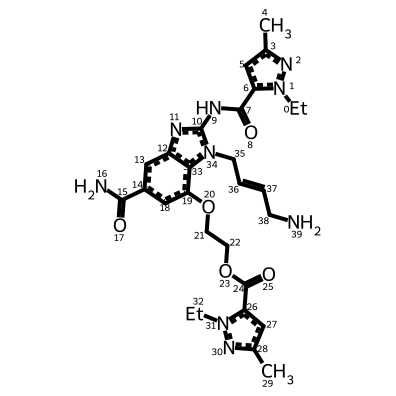 CCn1nc(C)cc1C(=O)Nc1nc2cc(C(N)=O)cc(OCCOC(=O)c3cc(C)nn3CC)c2n1CC=CCN